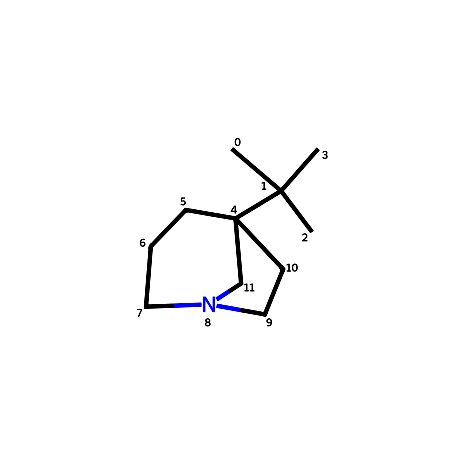 CC(C)(C)C12CCCN(CC1)C2